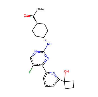 COC(=O)[C@H]1CC[C@H](Nc2ncc(F)c(-c3cccc(C4(O)CCC4)n3)n2)CC1